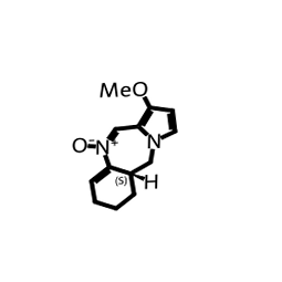 COc1ccn2c1C=[N+]([O-])C1=CCCC[C@H]1C2